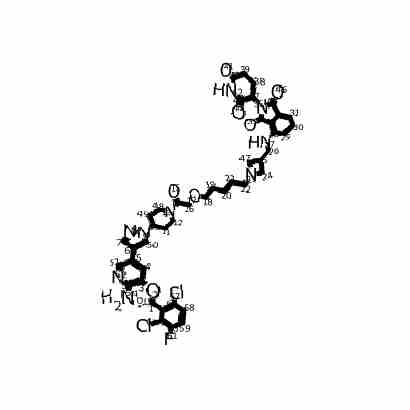 C[C@H](Oc1cc(-c2cnn(C3CCN(C(=O)COCCCCCN4CC(CNc5cccc6c5C(=O)N(C5CCC(=O)NC5=O)C6=O)C4)CC3)c2)cnc1N)c1c(Cl)ccc(F)c1Cl